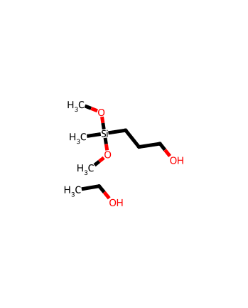 CCO.CO[Si](C)(CCCO)OC